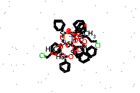 C[Si]1(CCCCl)O[SiH](c2ccccc2)O[Si]2(c3ccccc3)O[Si]3(c4ccccc4)O[SiH](c4ccccc4)O[Si]4(c5ccccc5)O[Si](c5ccccc5)(O1)O[Si](c1ccccc1)(O2)O[Si](c1ccccc1)(O[Si](C)(CCCCl)O3)O4